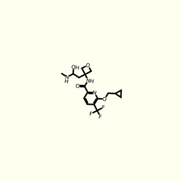 CNC(O)CC1(NC(=O)c2ccc(C(F)(F)F)c(OCC3CC3)n2)COC1